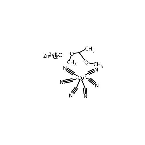 COC(C)OC.N#[C][Co-3]([C]#N)([C]#N)([C]#N)([C]#N)[C]#N.O.[Cl-].[Zn+2].[Zn+2]